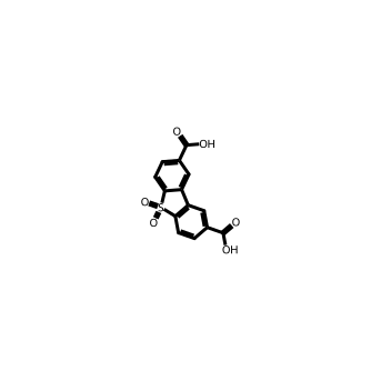 O=C(O)c1ccc2c(c1)-c1cc(C(=O)O)ccc1S2(=O)=O